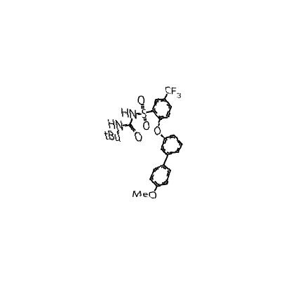 COc1ccc(-c2cccc(Oc3ccc(C(F)(F)F)cc3S(=O)(=O)NC(=O)NC(C)(C)C)c2)cc1